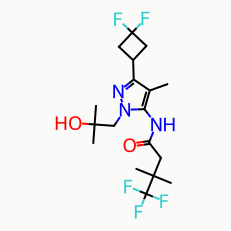 Cc1c(C2CC(F)(F)C2)nn(CC(C)(C)O)c1NC(=O)CC(C)(C)C(F)(F)F